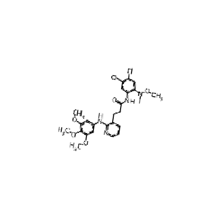 COc1cc(Nc2ncccc2CCC(=O)Nc2cc(Cl)c(Cl)cc2N(I)OC)cc(OC)c1OC